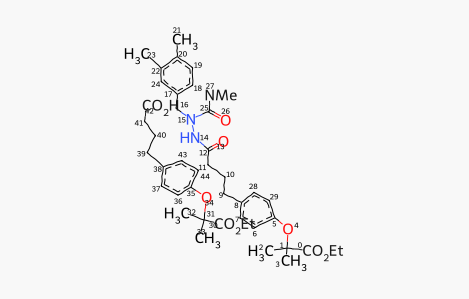 CCOC(=O)C(C)(C)Oc1ccc(CCCC(=O)NN(Cc2ccc(C)c(C)c2)C(=O)NC)cc1.CCOC(=O)C(C)(C)Oc1ccc(CCCC(=O)O)cc1